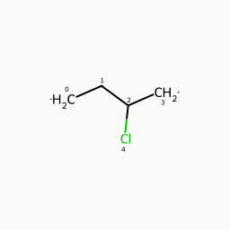 [CH2]CC([CH2])Cl